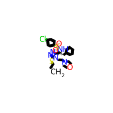 C=CCSc1nnc([C@@H](Cc2ccccc2)NS(=O)(=O)c2ccc(Cl)cc2)n1CCN1CCOCC1